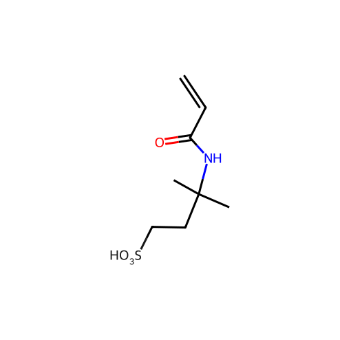 C=CC(=O)NC(C)(C)CCS(=O)(=O)O